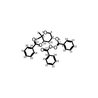 CC1(C)OC[C@H](OC(=O)c2ccccc2)[C@H](OC(=O)c2ccccc2)[C@H]1OC(=O)c1ccccc1